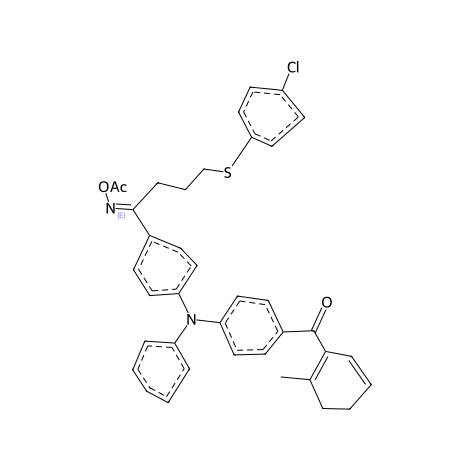 CC(=O)O/N=C(\CCCSc1ccc(Cl)cc1)c1ccc(N(c2ccccc2)c2ccc(C(=O)C3=C(C)CCC=C3)cc2)cc1